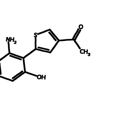 CC(=O)c1csc(-c2c(N)cccc2O)c1